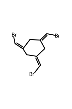 BrC=C1CC(=CBr)CC(=CBr)C1